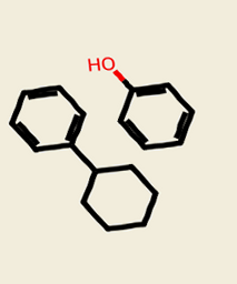 Oc1ccccc1.c1ccc(C2CCCCC2)cc1